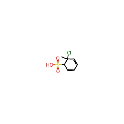 CC1(Cl)C=CC=CC1S(=O)(=O)O